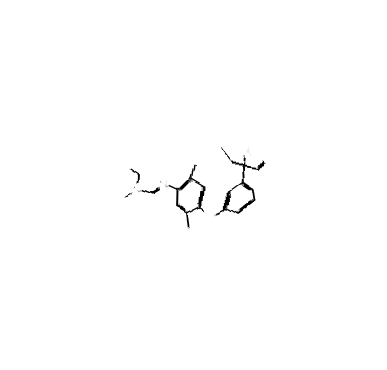 C=CC(O)(CC)c1cccc(Oc2cc(C)c(N=CN(C)CC)cc2C)c1